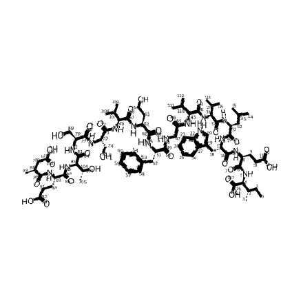 CC[C@H](C)[C@H](NC(=O)[C@H](CCC(=O)O)NC(=O)[C@H](Cc1c[nH]c2ccccc12)NC(=O)[C@H](CC(C)C)NC(=O)[C@@H](NC(=O)[C@@H](NC(=O)CNC(=O)[C@H](Cc1ccccc1)NC(=O)[C@H](CCO)NC(=O)[C@@H](NC(=O)[C@H](CO)NC(=O)[C@H](CO)NC(=O)C(NC(=O)[C@H](CCC(=O)O)NC(=O)[C@@H](C)CC(=O)O)[C@@H](C)O)C(C)C)C(C)C)C(C)C)C(=O)O